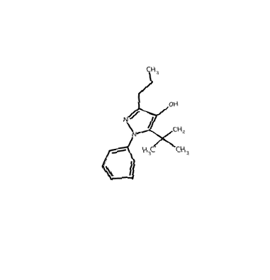 CCCc1nn(-c2ccccc2)c(C(C)(C)C)c1O